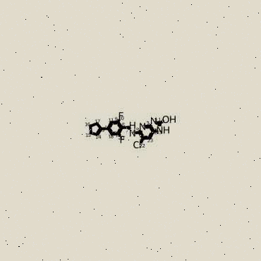 Oc1nc2nc(NCc3c(F)cc(C4=CCCC4)cc3F)c(Cl)cc2[nH]1